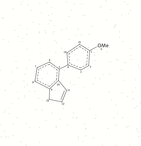 COc1ccc(-c2cccc3c2C=C[CH]3)cc1